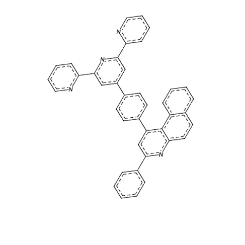 c1ccc(-c2cc(-c3ccc(-c4cc(-c5ccccn5)nc(-c5ccccn5)c4)cc3)c3c(ccc4ccccc43)n2)cc1